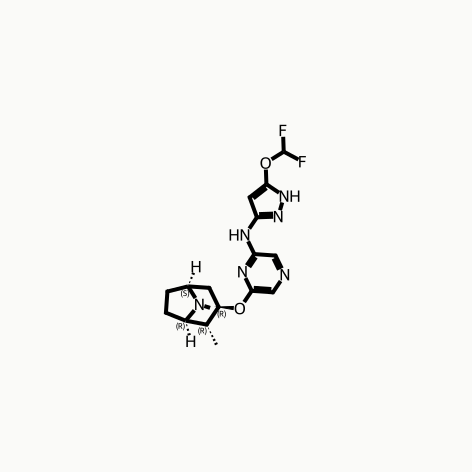 C[C@@H]1[C@H]2CC[C@@H](C[C@H]1Oc1cncc(Nc3cc(OC(F)F)[nH]n3)n1)N2C